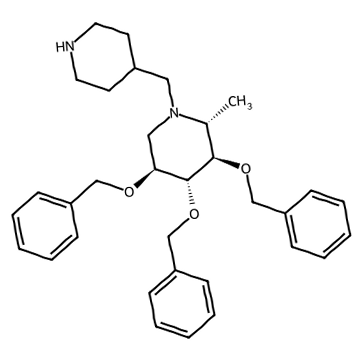 C[C@@H]1[C@@H](OCc2ccccc2)[C@H](OCc2ccccc2)[C@@H](OCc2ccccc2)CN1CC1CCNCC1